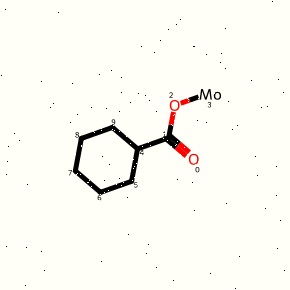 O=C([O][Mo])C1CCCCC1